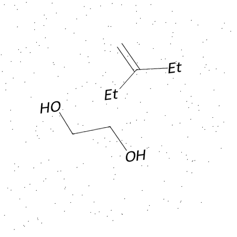 C=C(CC)CC.OCCO